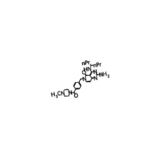 CCCC(CCC)Nc1nc(N)nc2ccn(Cc3ccc(C(=O)N4CCN(C)CC4)cc3)c(=O)c12